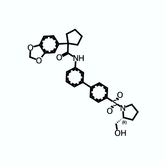 O=C(Nc1cccc(-c2ccc(S(=O)(=O)N3CCC[C@@H]3CO)cc2)c1)C1(c2ccc3c(c2)OCO3)CCCC1